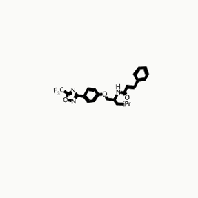 CC(C)CC(COc1ccc(-c2noc(C(F)(F)F)n2)cc1)NC(=O)C=Cc1ccccc1